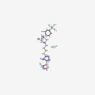 Cc1cc(C(F)(F)F)ccc1[C@@]12C[C@@H]1CN(CCCSc1nnc(-c3ocnc3C)n1C)C2.Cl